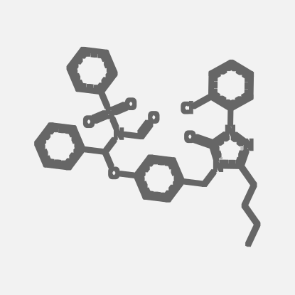 CCCCc1nn(-c2ccccc2Cl)c(=O)n1Cc1ccc(OC(c2ccccc2)N(C=O)S(=O)(=O)c2ccccc2)cc1